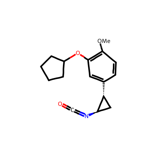 COc1ccc([C@@H]2C[C@H]2N=C=O)cc1OC1CCCC1